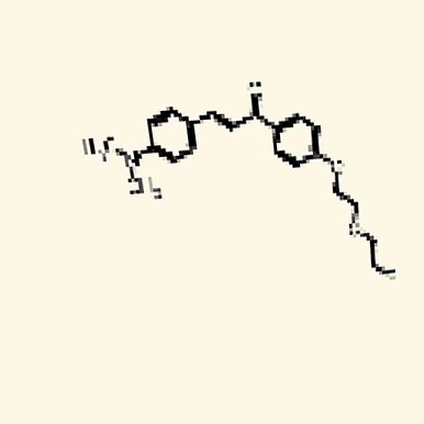 CN(C)c1ccc(C=CC(=O)c2ccc(OCCOCCF)cc2)cc1